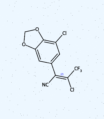 N#C/C(=C(\Cl)C(F)(F)F)c1cc(Cl)c2c(c1)OCO2